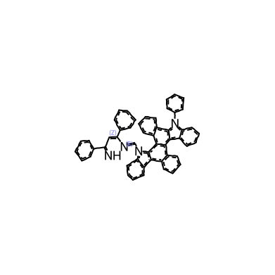 N=C(/C=C(\N=C\n1c2ccccc2c2c3ccccc3c3c(c4ccccc4c4c3c3ccccc3n4-c3ccccc3)c21)c1ccccc1)c1ccccc1